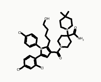 CC1(C)CCN(C2(C(N)=O)CCN(C(=O)c3cc(-c4ccc(Cl)cc4Cl)n(-c4ccc(Cl)cc4)c3CCCCO)CC2)CC1